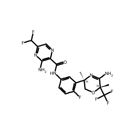 C[C@@]1(c2cc(NC(=O)c3ncc(C(F)F)nc3N)ccc2F)CO[C@@](C)(C(F)(F)F)C(N)=N1